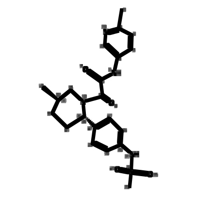 Cc1ccc(NC(=O)C(=O)N2C[C@H](C)CC[C@H]2c2ccc(NS(C)(=O)=O)cc2)cn1